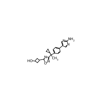 CC(c1ccc(-c2cnc(N)nc2)cc1)(c1noc(C2CC(O)C2)n1)C1CC1